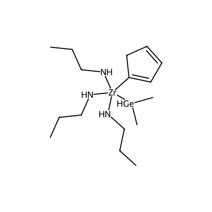 CCC[NH][Zr]([NH]CCC)([NH]CCC)([C]1=CC=CC1)[GeH]([CH3])[CH3]